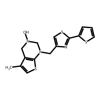 Cc1csc2c1CN(O)CN2Cc1csc(-c2cccs2)n1